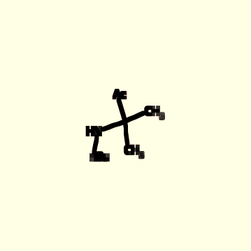 CCCCNC(C)(C)C(C)=O